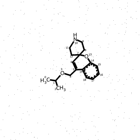 CC(C)OCC1=CC2(CCNCC2)Oc2ccccc21